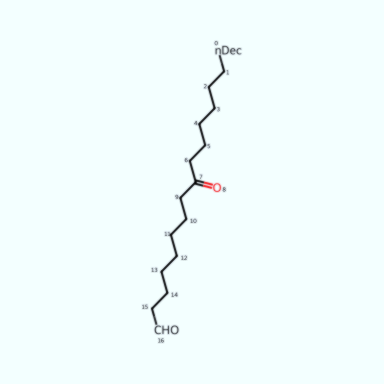 CCCCCCCCCCCCCCCCC(=O)CCCCCCCC=O